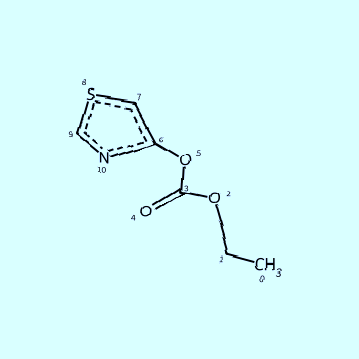 CCOC(=O)Oc1cscn1